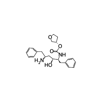 N[C@@H](Cc1ccccc1)C[C@H](O)[C@H](Cc1ccccc1)NC(=O)O[C@H]1CCOC1